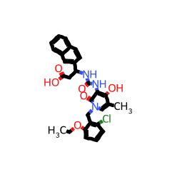 CCOc1cccc(Cl)c1Cn1cc(C)c(O)c(NC(=O)NC(CC(=O)O)c2ccc3ccccc3c2)c1=O